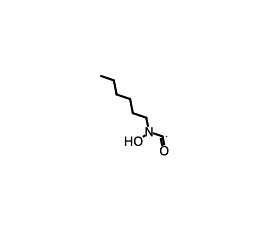 CCCCCCN(O)[C]=O